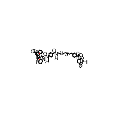 O=C1CCC(n2c(=O)oc3cc(CCCOCCOCCNC(=O)c4ccc(NC(=O)[C@@H]5NC6(CCCCC6)[C@@]6(C(=O)Nc7cc(Cl)ccc76)[C@H]5c5cccc(Cl)c5F)cc4)ccc32)C(=O)N1